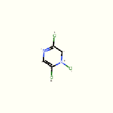 ClC1=CN=C(Cl)CN1Cl